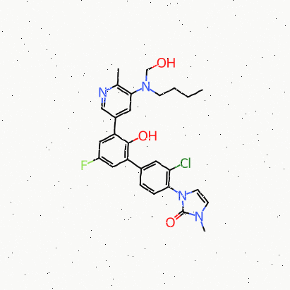 CCCCN(CO)c1cc(-c2cc(F)cc(-c3ccc(-n4ccn(C)c4=O)c(Cl)c3)c2O)cnc1C